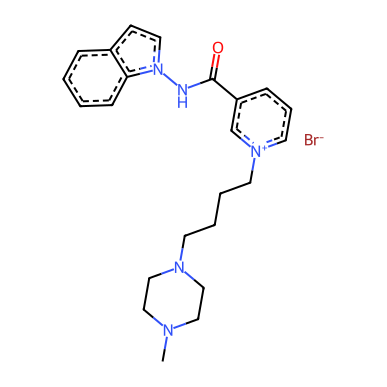 CN1CCN(CCCC[n+]2cccc(C(=O)Nn3ccc4ccccc43)c2)CC1.[Br-]